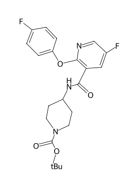 CC(C)(C)OC(=O)N1CCC(NC(=O)c2cc(F)cnc2Oc2ccc(F)cc2)CC1